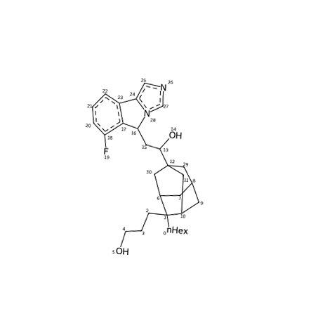 CCCCCCC1(CCCO)C2CC3CC1CC(C(O)CC1c4c(F)cccc4-c4cncn41)(C3)C2